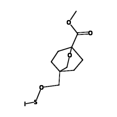 COC(=O)C12CCC(COSI)(CC1)CO2